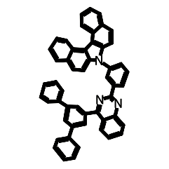 c1ccc(-c2cc(-c3ccccc3)cc(-c3nc(-c4cccc(-n5c6ccc7ccccc7c6c6c7ccccc7ccc65)c4)nc4ccccc34)c2)cc1